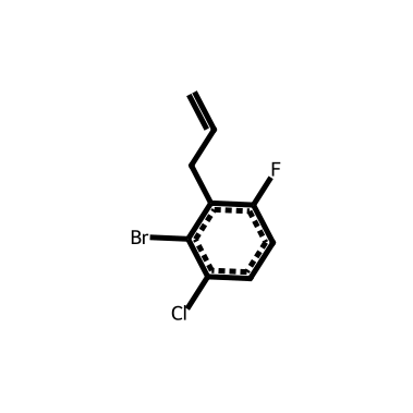 C=CCc1c(F)ccc(Cl)c1Br